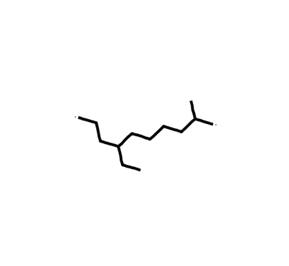 [CH2]CCC(CC)CCCCC([CH2])C